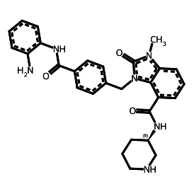 Cn1c(=O)n(Cc2ccc(C(=O)Nc3ccccc3N)cc2)c2c(C(=O)N[C@@H]3CCCNC3)cccc21